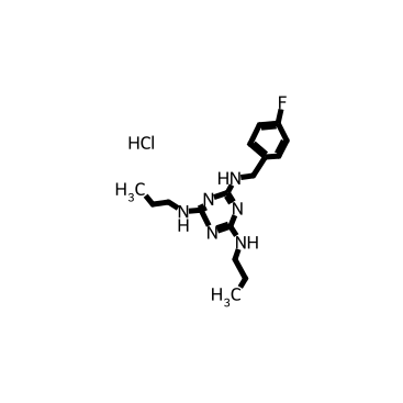 CCCNc1nc(NCCC)nc(NCc2ccc(F)cc2)n1.Cl